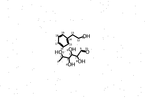 CC(O)C(O)C(O)C(O)C=O.OCCc1ccccc1